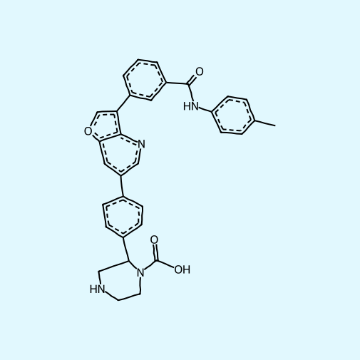 Cc1ccc(NC(=O)c2cccc(-c3coc4cc(-c5ccc(C6CNCCN6C(=O)O)cc5)cnc34)c2)cc1